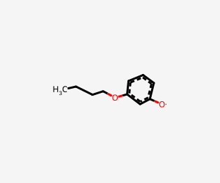 CCCCOc1cccc([O])c1